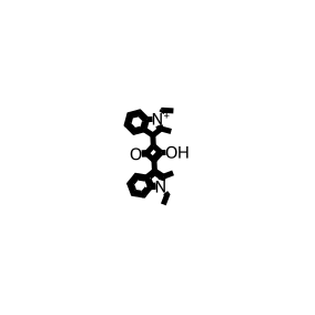 CCn1c(C)c(C2=C(O)C(C3C(C)=[N+](CC)c4ccccc43)C2=O)c2ccccc21